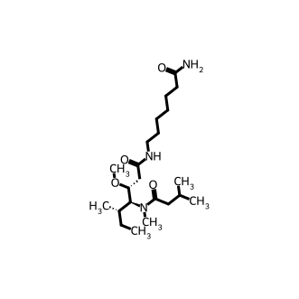 CC[C@H](C)[C@@H]([C@@H](CC(=O)NCCCCCCC(N)=O)OC)N(C)C(=O)CC(C)C